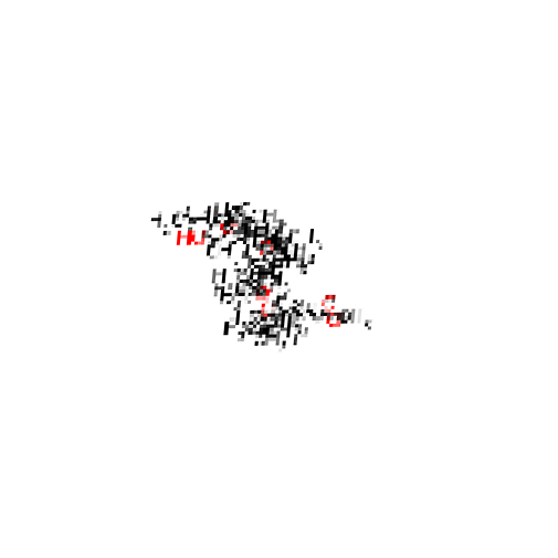 C=CC=C[C@H](C)[C@H](O)[C@@H](C)[C@@H](CC[C@H](C)C[C@@H](C)[C@@H](O[Si](C)(C)C(C)(C)C)[C@@H](C)C=C[C@H](C[C@H](O[Si](C)(C)C(C)(C)C)[C@@H](C)C=CC=CC(=O)OC)O[Si](C)(C)C(C)(C)C)O[Si](C)(C)C(C)(C)C